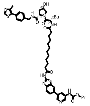 Cc1ncsc1-c1ccc(CNC(=O)[C@@H]2C[C@@H](O)CN2C(=O)[C@@H](NC(=O)CCCCCCCCCCC(=O)Nc2nc3ccc(-c4cncc(NC(=O)OC(C)C)c4)cc3s2)C(C)(C)C)cc1